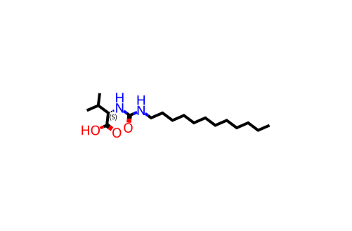 CCCCCCCCCCCCNC(=O)N[C@H](C(=O)O)C(C)C